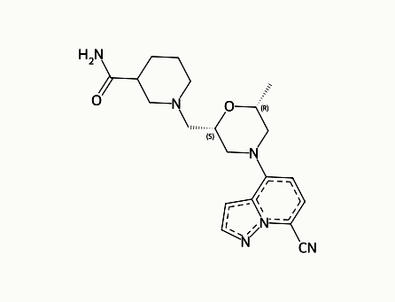 C[C@@H]1CN(c2ccc(C#N)n3nccc23)C[C@H](CN2CCCC(C(N)=O)C2)O1